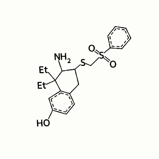 CCC1(CC)c2cc(O)ccc2CC(SCS(=O)(=O)c2ccccc2)C1N